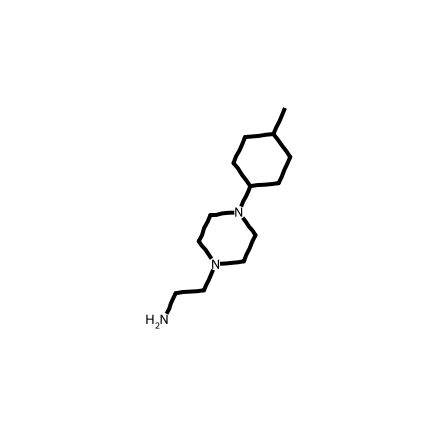 CC1CCC(N2CCN(CCN)CC2)CC1